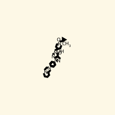 CC1(C(=O)N2CCC(O)(Cn3cnc4c(cnn4-c4ccc(N5CCN6CCCCC6C5)cc4)c3=O)CC2)CC1